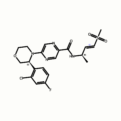 C[C@H](/C=C/S(C)(=O)=O)NC(=O)c1cnc(N2CCOC[C@@H]2c2ccc(F)cc2Cl)cn1